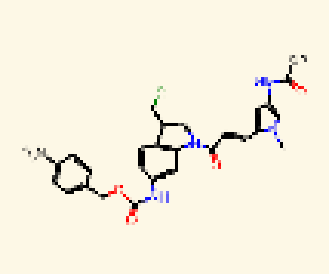 CCCC(=O)Nc1cc(C=CC(=O)N2CC(CCl)c3ccc(NC(=O)OCc4ccc([N+](=O)[O-])cc4)cc32)n(C)c1